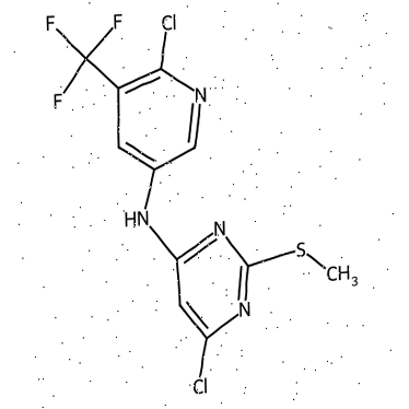 CSc1nc(Cl)cc(Nc2cnc(Cl)c(C(F)(F)F)c2)n1